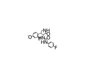 COc1ccc(C2CNC(=O)C2NC(=O)Nc2ccc(F)cc2)c(F)c1